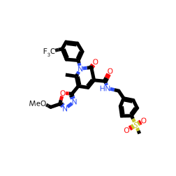 COCc1nnc(-c2cc(C(=O)NCc3ccc(S(C)(=O)=O)cc3)c(=O)n(-c3cccc(C(F)(F)F)c3)c2C)o1